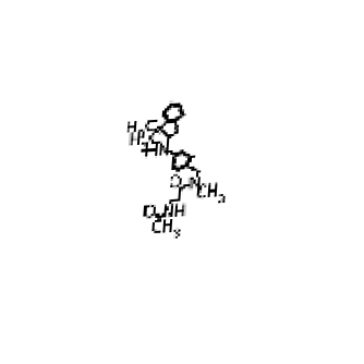 CC(=O)NCCC(=O)N(C)Cc1ccc(NC2Cc3ccccc3C2(C)C)cc1